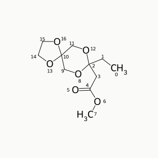 CCC1(CC(=O)OC)OCC2(CO1)OCCO2